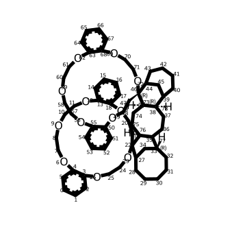 c1ccc2c(c1)OCCOCCOc1ccccc1OCCC1(OCCO2)C2CCCCC[C@H](C2)C2CC[C@@H]3C4CCCCC(C4)[C@]4(CCOc5ccccc5OCCOCCOc5ccccc5OCCO4)[C@@H]3CC[C@@H]21